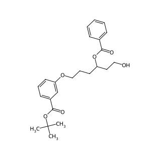 CC(C)(C)OC(=O)c1cccc(OCCCC(CCO)OC(=O)c2ccccc2)c1